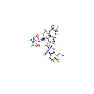 CC[C@H]1C(=O)OCc2c1cc1n(c2=O)Cc2c-1nc1cc(F)c(C)c3c1c2[C@@H](NC(=O)C(O)C(F)(F)F)CC3